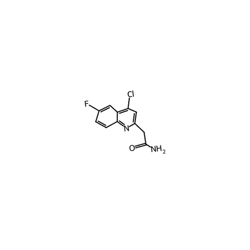 NC(=O)Cc1cc(Cl)c2cc(F)ccc2n1